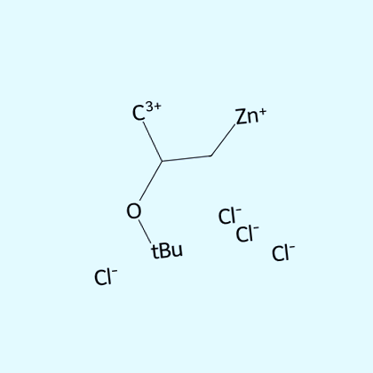 [C+3]C([CH2][Zn+])OC(C)(C)C.[Cl-].[Cl-].[Cl-].[Cl-]